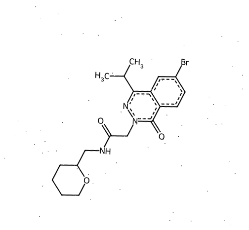 CC(C)c1nn(CC(=O)NCC2CCCCO2)c(=O)c2ccc(Br)cc12